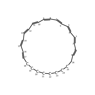 [C]1=C/C=C/C=C/C=C/C=C\C=C\C=C\C=C\C=C\CCCCCCCCC/1